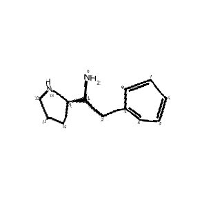 NC(Cc1ccccc1)[C@H]1CCCN1